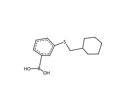 OB(O)c1cccc(SCC2CCCCC2)c1